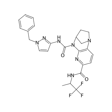 CC(NC(=O)c1ccc2c(n1)N(C(=O)Nc1ccn(Cc3ccccc3)n1)C1CCN2C1)C(F)(F)F